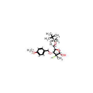 COc1ccc(CO[C@@H]2[C@@H](CO[Si](C)(C)C(C)(C)C)O[C@@H](O)[C@]2(C)F)cc1